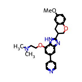 COc1ccc2c(c1)CC(c1nc3cc(-c4ccncc4)cc(OCCN(C)C)c3[nH]1)CO2